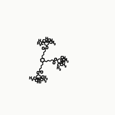 CC1(C)CC(OC(=O)CCCCc2ccc(CCCCC(=O)OC3CC(C)(C)NC(C)(C)C3)c(CCCCC(=O)OC3CC(C)(C)NC(C)(C)C3)c2)CC(C)(C)N1